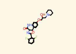 NC(=O)C1N=C(c2c(F)cccc2F)OC1c1ccc(OCC(O)CN2CCCCC2)cc1